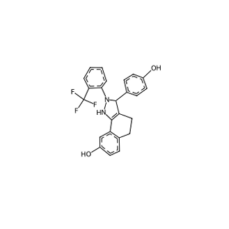 Oc1ccc(C2C3=C(NN2c2ccccc2C(F)(F)F)c2cc(O)ccc2CC3)cc1